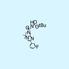 CC(C)(C)OC(=O)NCC(=O)N1Cc2nc(-c3cccc(F)c3)cn2C(C)(C)C1